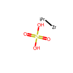 C[CH](C)[Zr].O=S(=O)(O)O